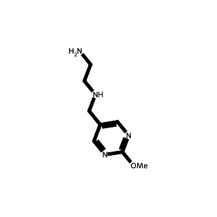 COc1ncc(CNCCN)cn1